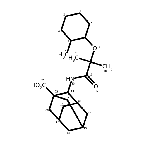 CC1CCCCC1OC(C)(C)C(=O)NC1C2CC3CC(C2)CC1(C(=O)O)C3